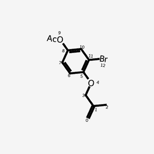 C=C(C)COc1ccc(OC(C)=O)cc1Br